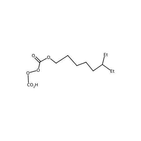 CCC(CC)CCCCCOC(=O)OOC(=O)O